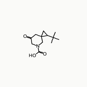 CC(C)(C)C1CC12CC(=O)CN(C(=O)O)C2